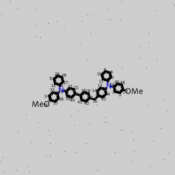 COc1ccc(N(c2ccccc2)c2ccc(Cc3ccc(-c4ccc(N(c5ccccc5)c5ccc(OC)cc5)cc4)cc3)cc2)cc1